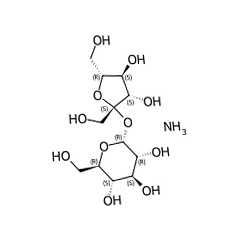 N.OC[C@H]1O[C@@](CO)(O[C@H]2O[C@H](CO)[C@@H](O)[C@H](O)[C@H]2O)[C@@H](O)[C@@H]1O